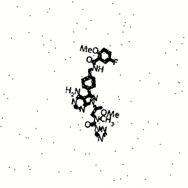 COCC(CN(C)C(=O)n1cncn1)n1nc(-c2ccc(CNC(=O)c3cc(F)ccc3OC)cc2)c2c(N)ncnc21